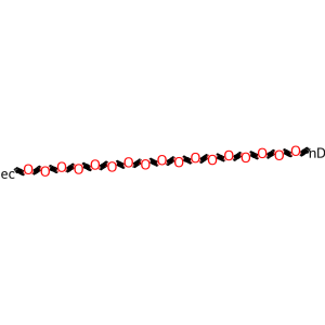 CCCCCCCCCCCCOCCOCCOCCOCCOCCOCCOCCOCCOCCOCCOCCOCCOCCOCCOCCOCCOCCCCCCCCCCCC